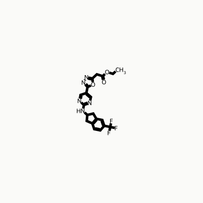 CCOC(=O)Cc1nnc(-c2cnc(NC3Cc4ccc(C(F)(F)F)cc4C3)nc2)o1